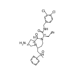 CC(C)C[C@H](C(=O)NCc1ccc(Cl)c(Cl)c1)N1CCC(C[SH](C)(=O)c2ccccc2)N2C[C@H](N)C[C@H]2C1=O